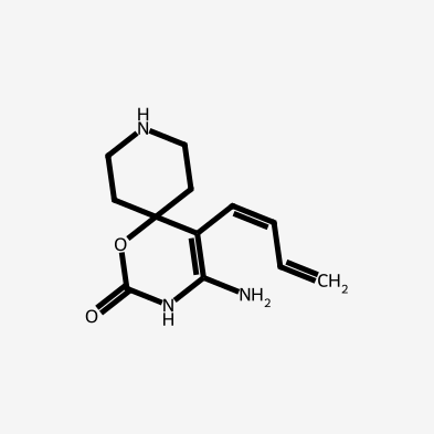 C=C/C=C\C1=C(N)NC(=O)OC12CCNCC2